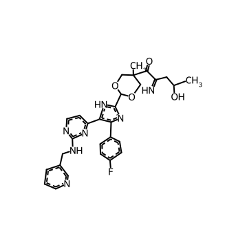 CC(O)CC(=N)C(=O)C1(C)COC(c2nc(-c3ccc(F)cc3)c(-c3ccnc(NCc4cccnc4)n3)[nH]2)OC1